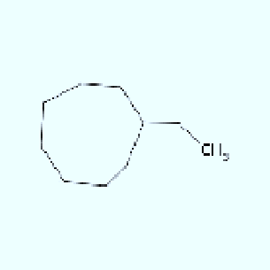 CCC1CC[CH]CCCC1